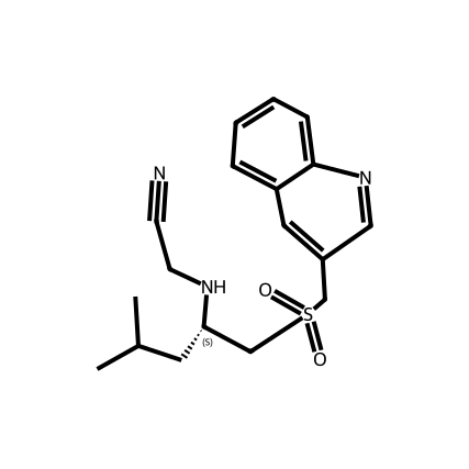 CC(C)C[C@@H](CS(=O)(=O)Cc1cnc2ccccc2c1)NCC#N